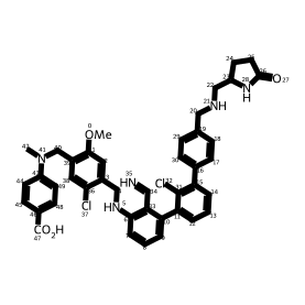 COc1cc(CNc2cccc(-c3cccc(-c4ccc(CNCC5CCC(=O)N5)cc4)c3Cl)c2C=N)c(Cl)cc1CN(C)c1ccc(C(=O)O)cc1